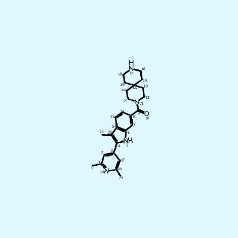 Cc1cc(-c2[nH]c3cc(C(=O)N4CCC5(CCNCC5)CC4)ccc3c2C)cc(C)n1